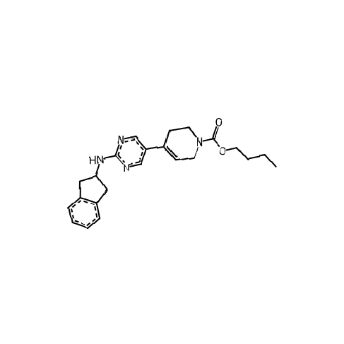 CCCCOC(=O)N1CC=C(c2cnc(NC3Cc4ccccc4C3)nc2)CC1